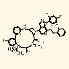 C=C1C2CC(CN2c2cnc(CCC3=CC=CCC3C)c3c2cnn3-c2ccc(F)cc2F)Nc2cccc(n2)-c2cc(F)cc(C)c2N(C(=C)C)CC(CC)CN1C